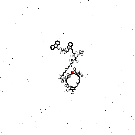 COc1cc2cc(c1Cl)N(C)C(=O)C[C@H](OC(=O)[C@H](C)N(C)C(=O)CCOCCOCCNC(=O)[C@H](CCC(=O)O)NC(=O)CCn1c(CN(C)N(C)C(=O)OCC3c4ccccc4-c4ccccc43)cc3ccccc31)[C@@]1(C)CC(C)(O1)[C@@H]1C[C@@](O)(NC(=O)O1)[C@H](O)/C=C/C=C(\C)C2